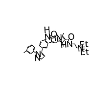 CCN(CC)CCNC(=O)c1c(C)[nH]c(/C=C2\C(=O)Nc3ccc(-c4ccnn4-c4cccc(C)c4)cc32)c1C